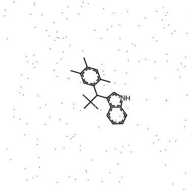 Cc1cc(C)c(C(c2c[nH]c3ccccc23)C(C)(C)C)cc1C